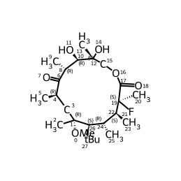 CO[C@]1(C)C[C@@H](C)C(=O)[C@H](C)[C@@H](O)[C@](C)(O)COC(=O)[C@@](C)(F)[C@@H](C)[C@H](C)[C@H]1C(C)(C)C